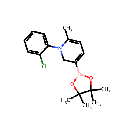 CC1=CC=C(B2OC(C)(C)C(C)(C)O2)CN1c1ccccc1Cl